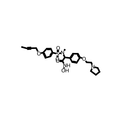 CC#CCOc1ccc(S(=O)(=O)N(C)C(C(=O)NO)c2ccc(OCCN3CCCC3)cc2)cc1